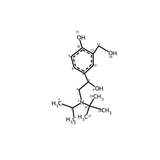 CC(C)N(CC(O)c1ccc(O)c(CO)c1)C(C)(C)C